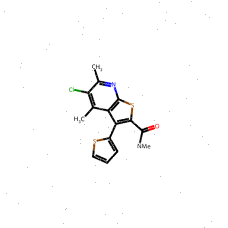 CNC(=O)c1sc2nc(C)c(Cl)c(C)c2c1-c1cccs1